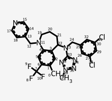 Cc1cc2c(cc1C(F)(F)F)N(Cc1ccncc1)CCCC2N(Cc1cc(Cl)cc(Cl)c1)c1nnn(C)n1